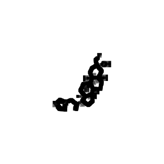 C=C(Cn1ccnc1)[C@H]1CC[C@H]2[C@@H]3CC[C@H]4C[C@](O)(CF)CC[C@@H]4[C@H]3CC[C@]12C